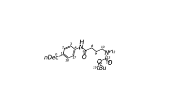 CCCCCCCCCCc1ccc(NC(=O)CCCN(C)C(=O)OC(C)(C)C)cc1